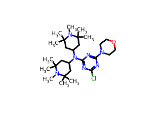 CN1C(C)(C)CC(N(c2nc(Cl)nc(N3CCOCC3)n2)C2CC(C)(C)N(C)C(C)(C)C2)CC1(C)C